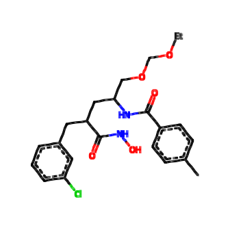 CCOCOCC(CC(Cc1cccc(Cl)c1)C(=O)NO)NC(=O)c1ccc(C)cc1